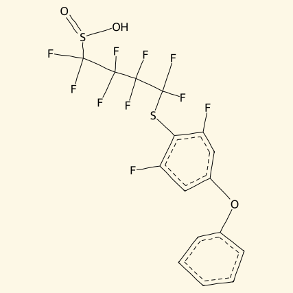 O=S(O)C(F)(F)C(F)(F)C(F)(F)C(F)(F)Sc1c(F)cc(Oc2ccccc2)cc1F